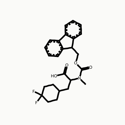 CN(C(=O)OCC1c2ccccc2-c2ccccc21)C(CC1CCC(F)(F)CC1)C(=O)O